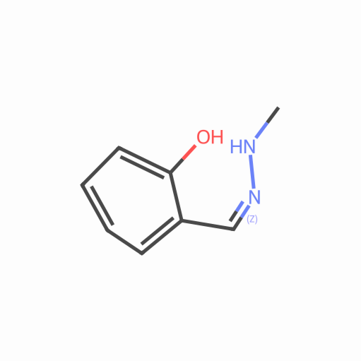 CN/N=C\c1ccccc1O